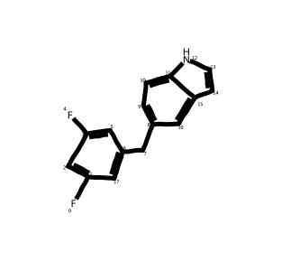 Fc1cc(F)cc(Cc2ccc3[nH]ccc3c2)c1